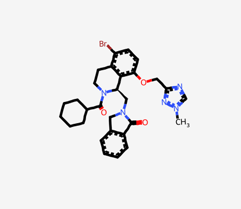 Cn1cnc(COc2ccc(Br)c3c2[C@@H](CN2Cc4ccccc4C2=O)N(C(=O)C2CCCCC2)CC3)n1